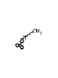 CCCCCCCCN=CN1CCC(C2c3ccccc3-c3ccccc32)CC1